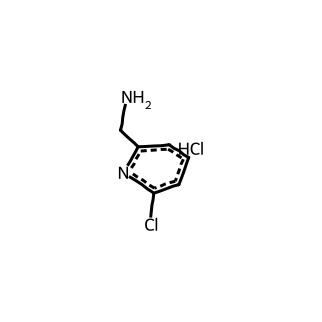 Cl.NCc1cccc(Cl)n1